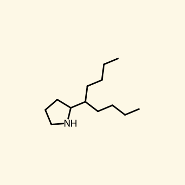 CCCCC(CCCC)C1CCCN1